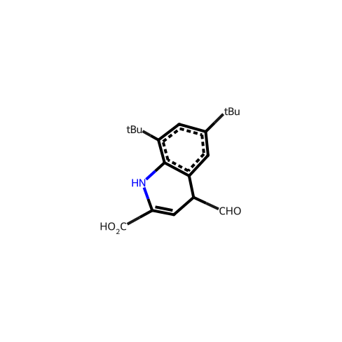 CC(C)(C)c1cc2c(c(C(C)(C)C)c1)NC(C(=O)O)=CC2C=O